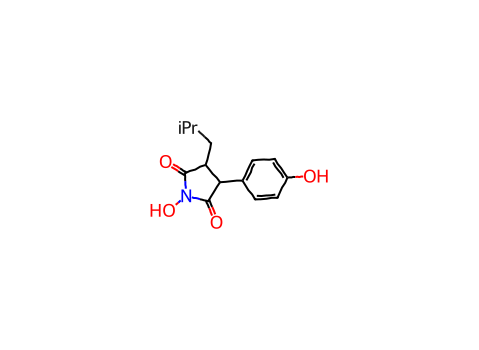 CC(C)CC1C(=O)N(O)C(=O)C1c1ccc(O)cc1